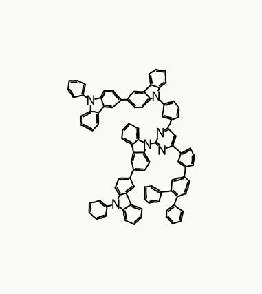 c1ccc(-c2ccc(-c3cccc(-c4cc(-c5cccc(-n6c7ccccc7c7cc(-c8ccc9c(c8)c8ccccc8n9-c8ccccc8)ccc76)c5)nc(-n5c6ccccc6c6cc(-c7ccc8c(c7)c7ccccc7n8-c7ccccc7)ccc65)n4)c3)cc2-c2ccccc2)cc1